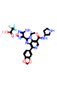 CCn1c(-c2nonc2N)nc2c(-c3ccc4c(c3)OCO4)ncc(C(=O)NC3CCNC3)c21.O=C(O)C(F)(F)F